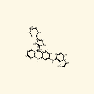 c1ccc(Oc2cc(Sc3ccnc4ccsc34)cnc2Nc2nc(C3CCNCC3)ns2)cc1